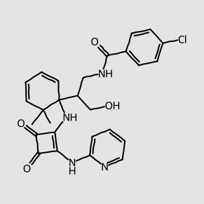 CC1(C)C=CC=CC1(Nc1c(Nc2ccccn2)c(=O)c1=O)C(CO)CNC(=O)c1ccc(Cl)cc1